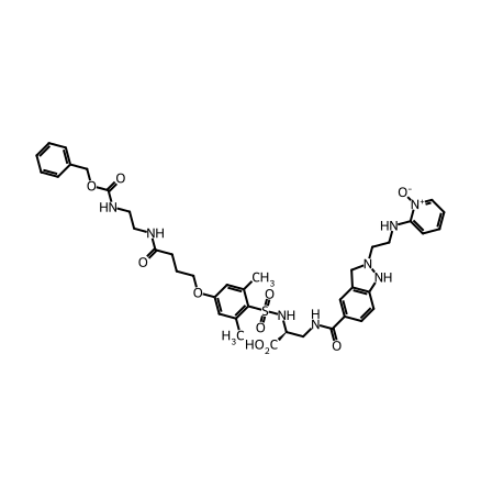 Cc1cc(OCCCC(=O)NCCNC(=O)OCc2ccccc2)cc(C)c1S(=O)(=O)N[C@@H](CNC(=O)c1ccc2c(c1)CN(CCNc1cccc[n+]1[O-])N2)C(=O)O